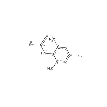 Cc1cc(F)cc(C)c1NC(=O)C(C)C